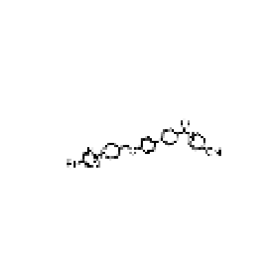 CCc1cnc(N2CCC(COc3ccc(C4CCC(C(=O)N5CCC(C#N)CC5)CC4)cc3)CC2)nc1